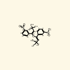 O=[N+]([O-])c1cccc(C(=CC(F)(F)F)OC(=CC(F)(F)F)c2cccc([N+](=O)[O-])c2)c1